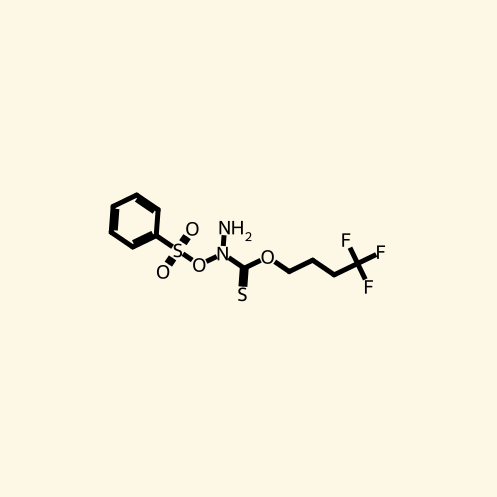 NN(OS(=O)(=O)c1ccccc1)C(=S)OCCCC(F)(F)F